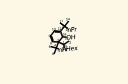 CCCCCCC(C)C1(C(C)(C)CCC)C=CC=C(C(C)(C)CCC)C1O